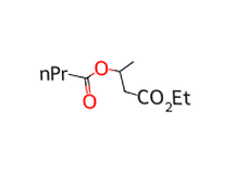 CCCC(=O)OC(C)CC(=O)OCC